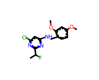 COc1ccc(CNc2cc(Cl)nc(C(C)F)n2)c(OC)c1